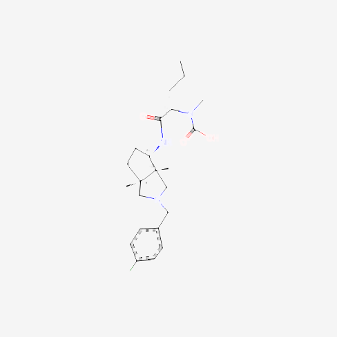 CCC[C@@H](C(=O)N[C@@H]1CC[C@H]2CN(Cc3ccc(F)cc3)C[C@H]21)N(C)C(=O)O